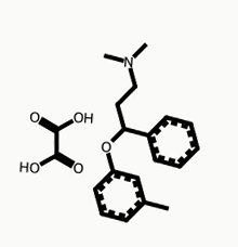 Cc1cccc(OC(CCN(C)C)c2ccccc2)c1.O=C(O)C(=O)O